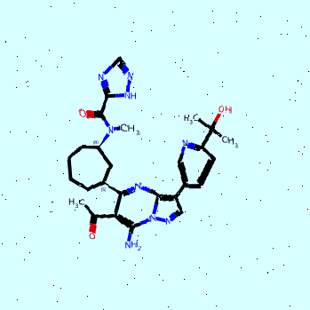 CC(=O)c1c([C@H]2CCCC[C@@H](N(C)C(=O)c3ncn[nH]3)C2)nc2c(-c3ccc(C(C)(C)O)nc3)cnn2c1N